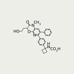 CN1C(=O)C(CCO)Oc2nc(-c3ccc(C4(NC(=O)O)CCC4)cc3)c(-c3ccccc3)cc21